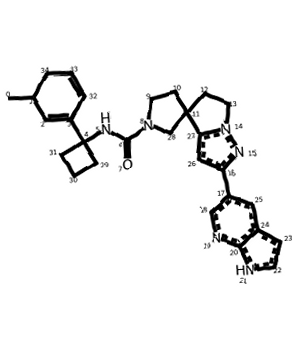 CC1C=C(C2(NC(=O)N3CCC4(CCn5nc(-c6cnc7[nH]ccc7c6)cc54)C3)CCC2)C=CC1